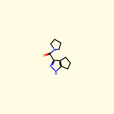 O=C(c1n[nH]c2c1CCC2)N1CCCC1